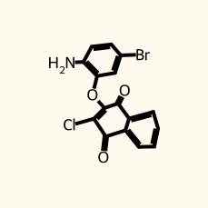 Nc1ccc(Br)cc1OC1=C(Cl)C(=O)c2ccccc2C1=O